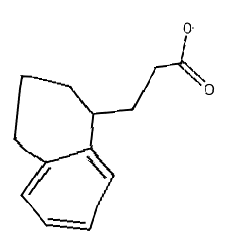 [O]C(=O)CCC1CCCc2ccccc21